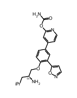 CC(C)C[C@H](N)COc1ccc(-c2ccnc(OC(N)=O)c2)cc1-c1ccno1